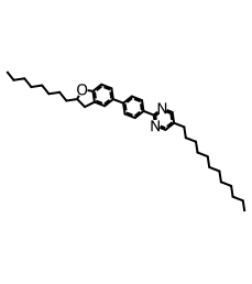 CCCCCCCCCCCCc1cnc(-c2ccc(-c3ccc4c(c3)CC(CCCCCCCC)O4)cc2)nc1